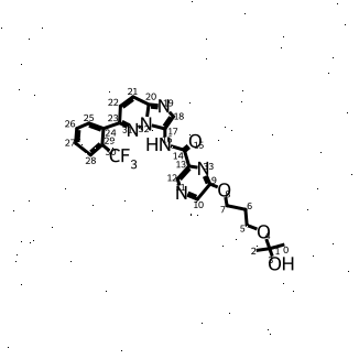 CC(C)(O)OCCCOc1cncc(C(=O)Nc2cnc3ccc(-c4ccccc4C(F)(F)F)nn23)n1